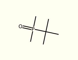 CC(C)(C)P(C)(C)=O